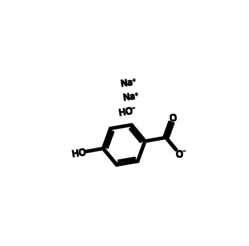 O=C([O-])c1ccc(O)cc1.[Na+].[Na+].[OH-]